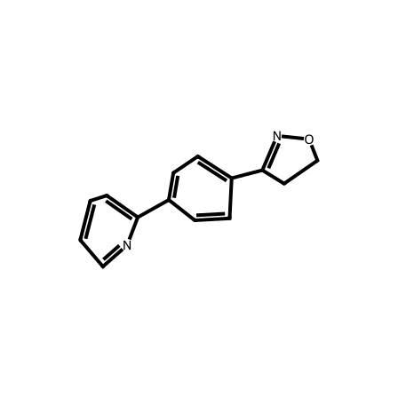 c1ccc(-c2ccc(C3=NOCC3)cc2)nc1